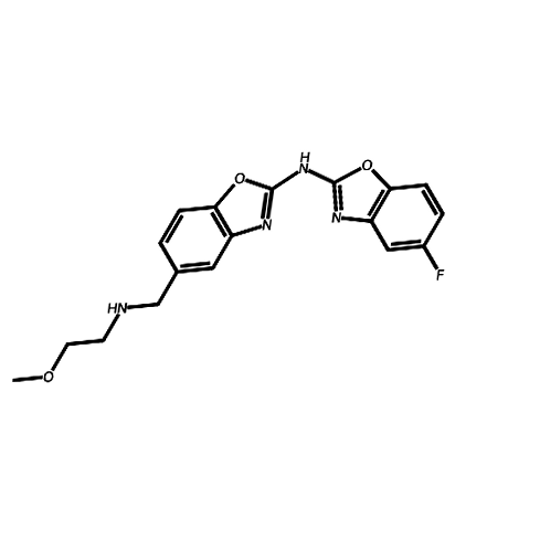 COCCNCc1ccc2oc(Nc3nc4cc(F)ccc4o3)nc2c1